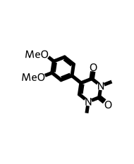 COc1ccc(-c2cn(C)c(=O)n(C)c2=O)cc1OC